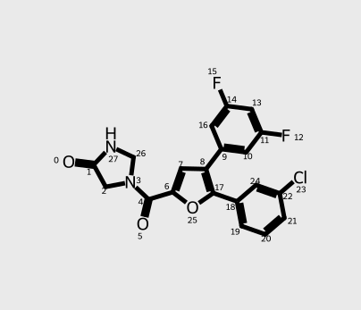 O=C1CN(C(=O)c2cc(-c3cc(F)cc(F)c3)c(-c3cccc(Cl)c3)o2)CN1